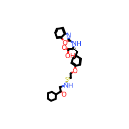 O=C(CNSCCOc1ccc(C[C@H](Nc2nc3ccccc3o2)C(=O)O)cc1)C1CCCCC1